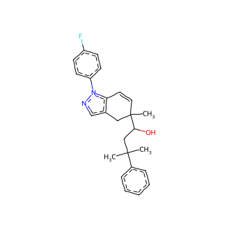 CC(C)(CC(O)C1(C)C=Cc2c(cnn2-c2ccc(F)cc2)C1)c1ccccc1